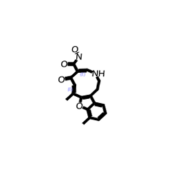 C/C1=C\C(=O)/C(C(=O)N=O)=C\NCCc2c1oc1c(C)cccc21